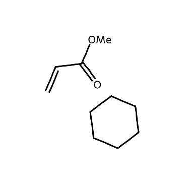 C1CCCCC1.C=CC(=O)OC